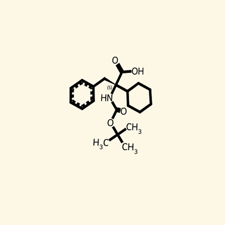 CC(C)(C)OC(=O)N[C@](Cc1ccccc1)(C(=O)O)C1CCCCC1